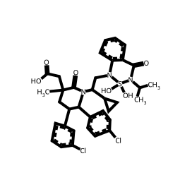 CC(C)N1C(=O)c2ccccc2N(CC(C2CC2)N2C(=O)C(C)(CC(=O)O)CC(c3cccc(Cl)c3)C2c2ccc(Cl)cc2)S1(O)O